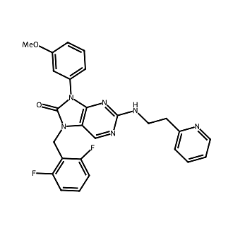 COc1cccc(-n2c(=O)n(Cc3c(F)cccc3F)c3cnc(NCCc4ccccn4)nc32)c1